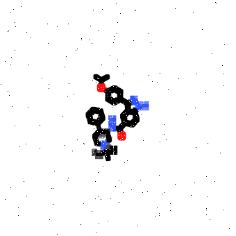 [2H]C([2H])(C)N1CC[C@@H](c2ccccc2)[C@H](NC(=O)c2ccc3[nH]nc(-c4ccc(OC(C)C)cc4)c3c2)C1